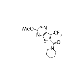 COc1cnc2c(C(F)(F)F)c(C(=O)N3CCCCC3)sc2n1